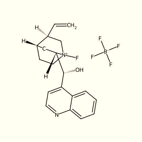 C=C[C@H]1C[N+]2(F)CC[C@H]1C[C@H]2[C@H](O)c1ccnc2ccccc12.F[B-](F)(F)F